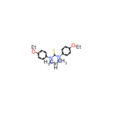 CCOc1ccc(NC(=S)Nc2ccc(OCC)cc2)cc1.[CH3][InH][CH3]